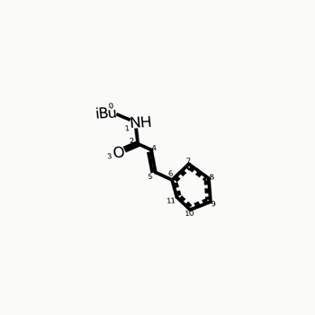 CCC(C)NC(=O)/C=C/c1ccccc1